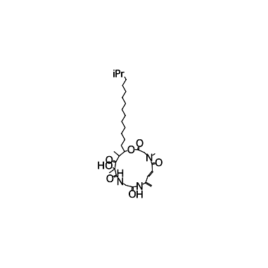 C=C1/C=C/C(=O)N(C)CC(=O)OC(CCCCCCCCCCCCC(C)C)C(C)C(=O)C(C)(O)C(=O)NCC(=O)N1